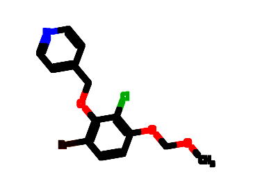 COCOc1ccc(Br)c(OCc2ccncc2)c1Cl